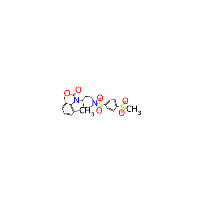 Cc1cccc2c1N(C1CCN(S(=O)(=O)c3ccc(S(C)(=O)=O)cc3)CC1)C(=O)OC2